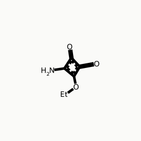 CCOc1c(N)c(=O)c1=O